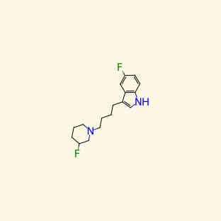 Fc1ccc2[nH]cc(CCCCN3CCCC(F)C3)c2c1